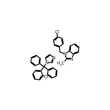 Cc1nc2ccccc2n1Cc1ccc(Cl)cc1.Clc1ccccc1C(c1ccccc1)(c1ccccc1)n1ccnc1